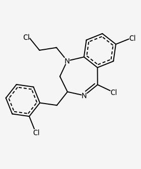 ClCCN1CC(Cc2ccccc2Cl)N=C(Cl)c2cc(Cl)ccc21